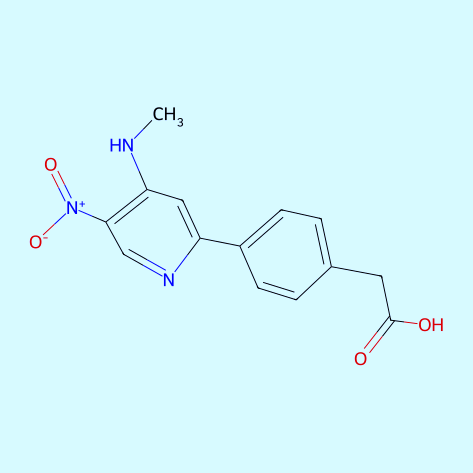 CNc1cc(-c2ccc(CC(=O)O)cc2)ncc1[N+](=O)[O-]